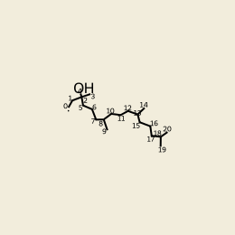 [CH2]CC(C)(O)CCCC(C)CCCC(C)CCCC(C)C